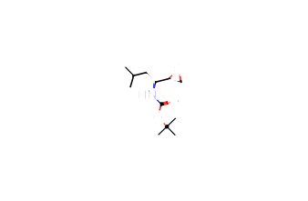 CC(C)C[C@H](NC(=O)OC(C)(C)C)[C@@H]1CO1